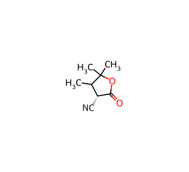 CC1[C@@H](C#N)C(=O)OC1(C)C